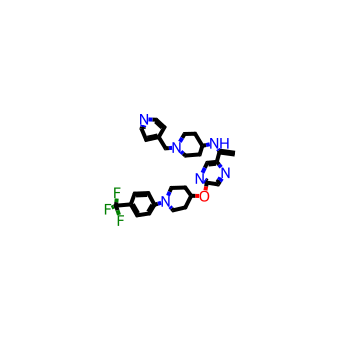 C=C(NC1CCN(Cc2ccncc2)CC1)c1cnc(OC2CCN(c3ccc(C(F)(F)F)cc3)CC2)cn1